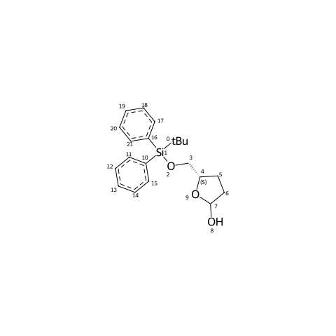 CC(C)(C)[Si](OC[C@@H]1CCC(O)O1)(c1ccccc1)c1ccccc1